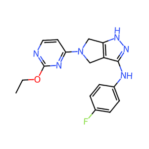 CCOc1nccc(N2Cc3[nH]nc(Nc4ccc(F)cc4)c3C2)n1